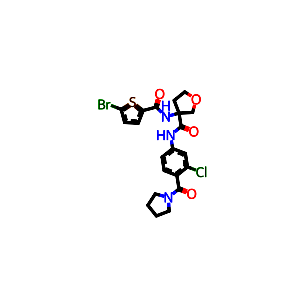 O=C(NC1(C(=O)Nc2ccc(C(=O)N3CCCC3)c(Cl)c2)CCOC1)c1ccc(Br)s1